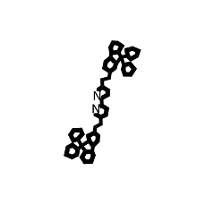 c1ccc(C2(c3ccccc3)c3ccccc3-c3ccc(CCc4ccc(-c5ccc(CCc6ccc7c(c6)C(c6ccccc6)(c6ccccc6)c6ccccc6-7)cn5)nc4)cc32)cc1